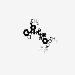 CCc1ccc(NC(=O)CNS(=O)(=O)c2ccc(OC)c(OC)c2)c(Cc2ccccc2Cl)c1